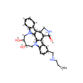 COCCNCc1ccc2c(c1)c1c3c(c4c5ccccc5n5c4c1n2CC(O)C(O)C5)CNC3=O